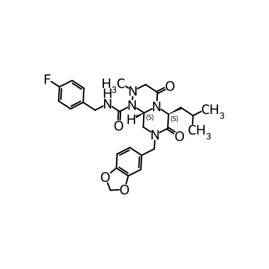 CC(C)C[C@H]1C(=O)N(Cc2ccc3c(c2)OCO3)C[C@H]2N1C(=O)CN(C)N2C(=O)NCc1ccc(F)cc1